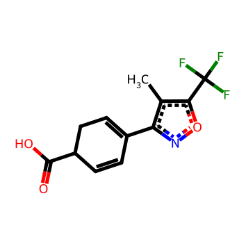 Cc1c(C2=CCC(C(=O)O)C=C2)noc1C(F)(F)F